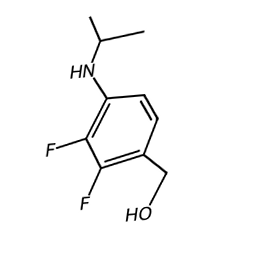 CC(C)Nc1ccc(CO)c(F)c1F